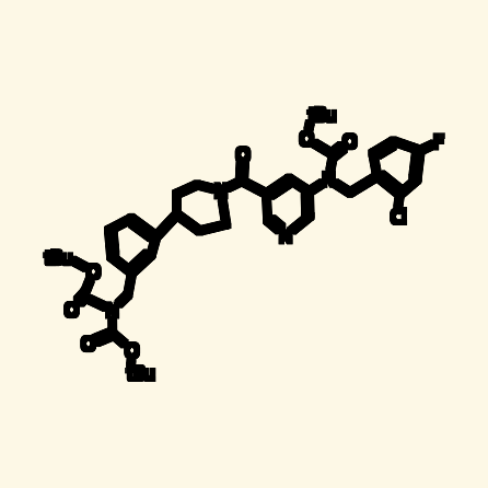 CC(C)(C)OC(=O)N(Cc1cccc(C2CCN(C(=O)c3cncc(N(Cc4ccc(F)cc4Cl)C(=O)OC(C)(C)C)c3)CC2)c1)C(=O)OC(C)(C)C